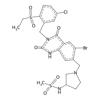 CCS(=O)(=O)c1ccc(Cl)cc1Cn1c(=O)[nH]c2cc(CN3CCC(NS(C)(=O)=O)C3)c(Br)cc2c1=O